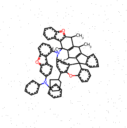 CC1C2=C3C(C)C4=C1C(C)c1oc5ccccc5c1C4(C)N(c1cccc4oc5cc(N(c6ccccc6)c6ccccc6)ccc5c14)c1cc(C4CCCCC4)c4c(c1)C3(c1ccccc1O4)c1ccccc12